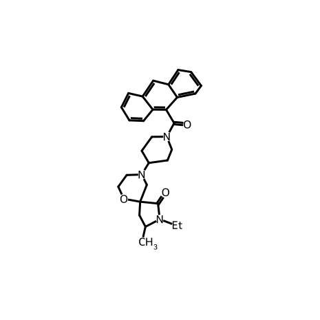 CCN1C(=O)C2(CC1C)CN(C1CCN(C(=O)c3c4ccccc4cc4ccccc34)CC1)CCO2